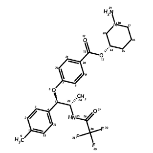 Cc1ccc([C@@H](Oc2ccc(C(=O)O[C@H]3CCCN(N)C3)cc2)[C@H](C)NC(=O)C(F)(F)F)cc1